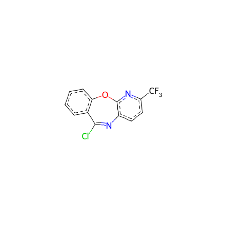 FC(F)(F)c1ccc2c(n1)Oc1ccccc1C(Cl)=N2